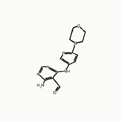 Nc1ncnc(Nc2ccc(N3CCOCC3)nc2)c1C=O